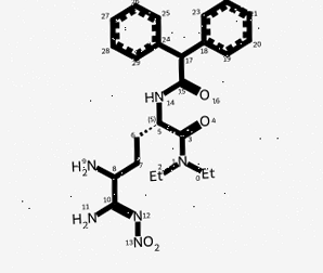 CCN(CC)C(=O)[C@H](CCC(N)C(N)=N[N+](=O)[O-])NC(=O)C(c1ccccc1)c1ccccc1